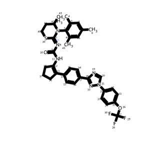 Cc1cc(C)c(N2/C(=N/C(=O)NC3=C(c4ccc(-c5ncn(-c6ccc(OC(F)(F)F)cc6)n5)cc4)CCC3)SCCC2C)c(C)c1